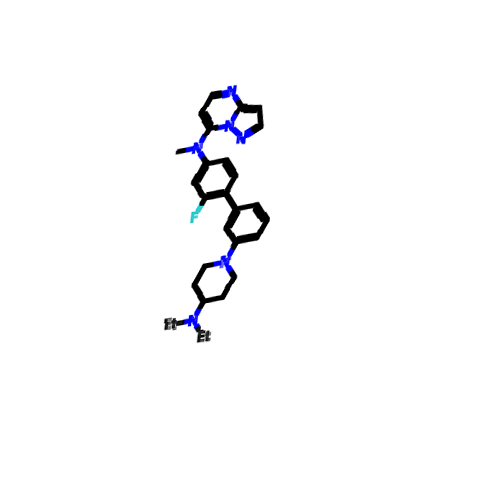 CCN(CC)C1CCN(c2cccc(-c3ccc(N(C)c4ccnc5ccnn45)cc3F)c2)CC1